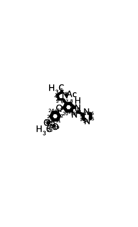 CC(=O)N1C(C)CCC1c1cc2[nH]c(-c3cnccn3)nc2cc1Oc1ccc(S(C)(=O)=O)cc1